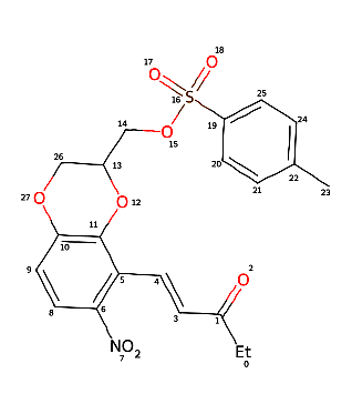 CCC(=O)C=Cc1c([N+](=O)[O-])ccc2c1OC(COS(=O)(=O)c1ccc(C)cc1)CO2